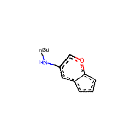 CCCCNc1coc2cccc-2c1